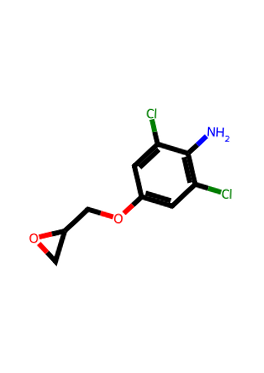 Nc1c(Cl)cc(OCC2CO2)cc1Cl